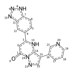 O=c1cc(-c2ccc3[nH]nnc3c2)[nH]c2c(-c3cccnc3)cnn12